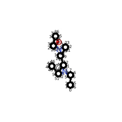 c1ccc(-c2cccc(-n3c4ccc(-c5ccc6c(c5)c5ccccc5n6-c5cccc6c5oc5ccccc56)cc4c4c(-c5ccccc5)cccc43)c2)cc1